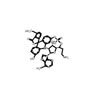 NCCC(OP(=O)(O)Oc1ccc2c(c1)Oc1cc(O)ccc1C21OC(=O)c2c(C(=O)O)cccc21)[C@H]1O[C@@H](n2cnc3c(N)ncnc32)[C@H](O)[C@@H]1O